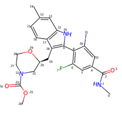 CNC(=O)c1cc(F)c(-c2[nH]c3cc(C)ccc3c2C[C@H]2CN(C(=O)OC)CCO2)c(I)c1